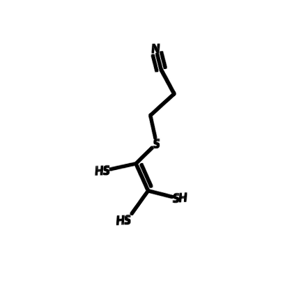 N#CCCSC(S)=C(S)S